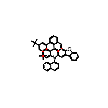 CC(C)(C)c1cc(-c2cccc3cccc(-c4ccccc4N(c4ccc5oc6ccccc6c5c4)c4cccc5ccccc45)c23)cc(C(C)(C)C)c1